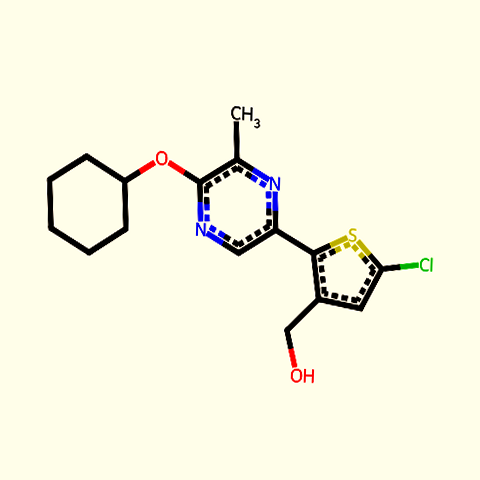 Cc1nc(-c2sc(Cl)cc2CO)cnc1OC1CCCCC1